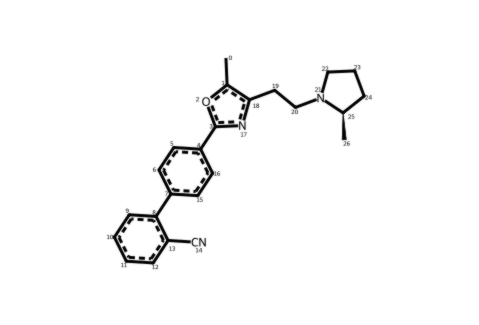 Cc1oc(-c2ccc(-c3ccccc3C#N)cc2)nc1CCN1CCC[C@H]1C